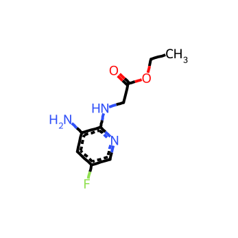 CCOC(=O)CNc1ncc(F)cc1N